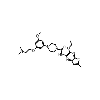 CCOc1nc2oc(C)cc2nc1NC(=O)N1CCN(c2cc(OC)cc(OCCN(C)C)c2)CC1